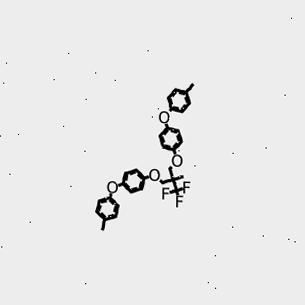 Cc1ccc(Oc2ccc(OCC(C)(COc3ccc(Oc4ccc(C)cc4)cc3)C(F)(F)F)cc2)cc1